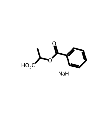 CC(OC(=O)c1ccccc1)C(=O)O.[NaH]